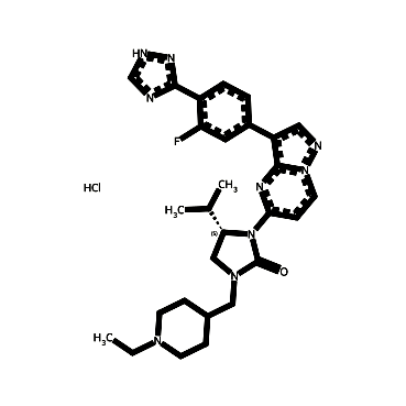 CCN1CCC(CN2C[C@H](C(C)C)N(c3ccn4ncc(-c5ccc(-c6nc[nH]n6)c(F)c5)c4n3)C2=O)CC1.Cl